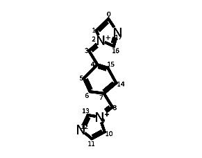 C1=C[N+](=Cc2ccc(C=[N+]3C=CN=C3)cc2)C=N1